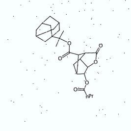 [CH2]CCC(=O)OC1C2CC3C1OC(=O)C3C2C(=O)OC(C)(C)C12CC3CC(CC(C3)C1)C2